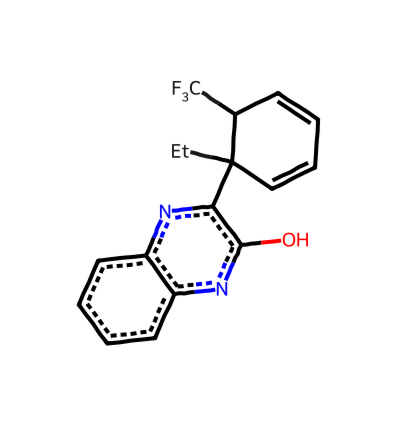 CCC1(c2nc3ccccc3nc2O)C=CC=CC1C(F)(F)F